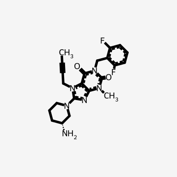 CC#CCn1c(N2CCC[C@@H](N)C2)nc2c1c(=O)n(Cc1c(F)cccc1F)c(=O)n2C